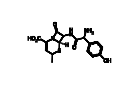 CC1C=C(C(=O)O)N2C(=O)C(NC(=O)C(N)c3ccc(O)cc3)[C@H]2S1